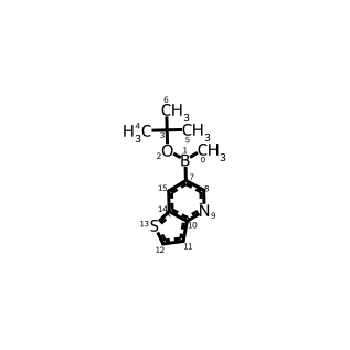 CB(OC(C)(C)C)c1cnc2ccsc2c1